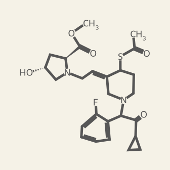 COC(=O)[C@@H]1C[C@@H](O)CN1C/C=C1\CN(C(C(=O)C2CC2)c2ccccc2F)CCC1SC(C)=O